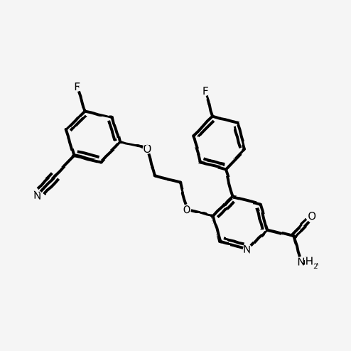 N#Cc1cc(F)cc(OCCOc2cnc(C(N)=O)cc2-c2ccc(F)cc2)c1